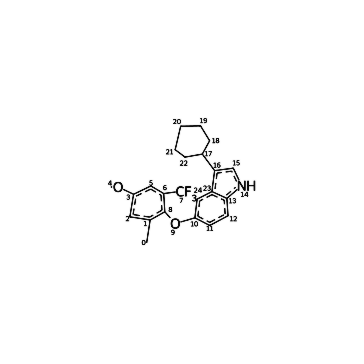 Cc1cc([O])cc(C(F)(F)F)c1Oc1ccc2[nH]cc(C3CCCCC3)c2c1